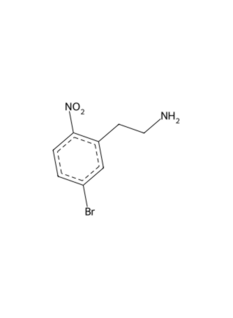 NCCc1cc(Br)ccc1[N+](=O)[O-]